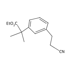 CCOC(=O)C(C)(C)c1cccc(CCC#N)c1